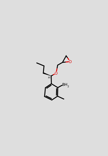 Bc1c(C)cccc1[C@@H](CCC)OCC1CO1